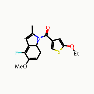 CCOc1cc(C(=O)N2C(C)=[C]C3=C(F)C(OC)=CCC32)cs1